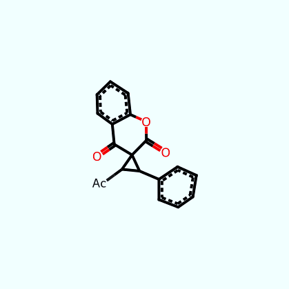 CC(=O)C1C(c2ccccc2)C12C(=O)Oc1ccccc1C2=O